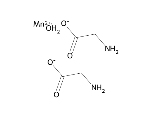 NCC(=O)[O-].NCC(=O)[O-].O.[Mn+2]